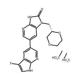 CS(=O)(=O)O.CS(=O)(=O)O.O=c1[nH]c2ncc(-c3cnc4[nH]cc(F)c4c3)cc2n1C[C@H]1COCCO1